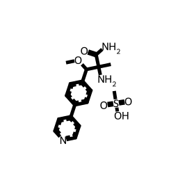 COC(c1ccc(-c2ccncc2)cc1)C(C)(N)C(N)=O.CS(=O)(=O)O